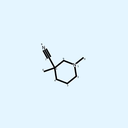 CN1CCCC(C)(C#N)C1